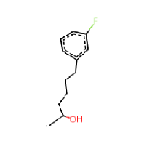 [CH2]C(O)CCCCc1cccc(F)c1